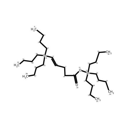 CCC[CH2][Sn](/[CH]=C/CCC(=O)[O][Sn]([CH2]CCC)([CH2]CCC)[CH2]CCC)([CH2]CCC)[CH2]CCC